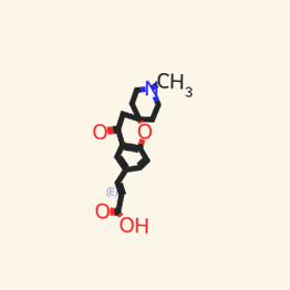 CN1CCC2(CC1)CC(=O)c1cc(/C=C/C(=O)O)ccc1O2